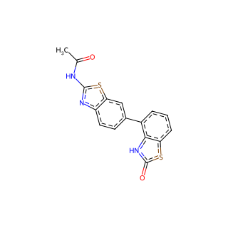 CC(=O)Nc1nc2ccc(-c3cccc4sc(=O)[nH]c34)cc2s1